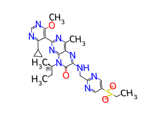 CC[C@@H](C)n1c(=O)c(NCc2ncc(S(=O)(=O)CC)cn2)nc2c(C)nc(-c3c(OC)ncnc3C3CC3)nc21